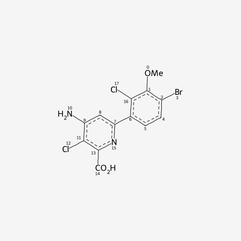 COc1c(Br)ccc(-c2cc(N)c(Cl)c(C(=O)O)n2)c1Cl